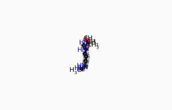 COC(=O)N[C@H](C(=O)N1CCC[C@H]1c1ncc(-c2ccc3cc(-c4ccc(-c5cnc([C@@H]6CC[C@H](C)N6)[nH]5)cc4)ccc3c2)[nH]1)C(C)C